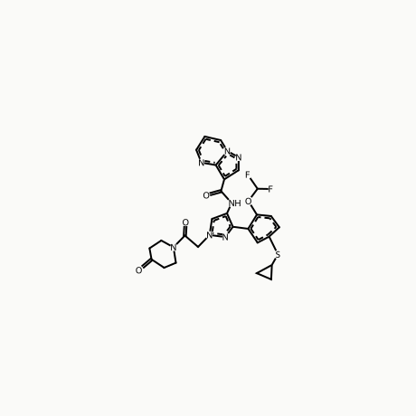 O=C1CCN(C(=O)Cn2cc(NC(=O)c3cnn4cccnc34)c(-c3cc(SC4CC4)ccc3OC(F)F)n2)CC1